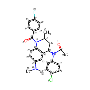 CCC(=O)N(c1ccc(Cl)cc1)C1CC(C)N(C(=O)c2ccc(F)cc2)c2ccc(N(CC)CC)cc21